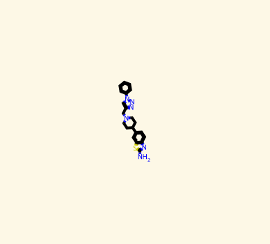 Nc1nc2ccc(C3CCN(Cc4cn(-c5ccccc5)nn4)CC3)cc2s1